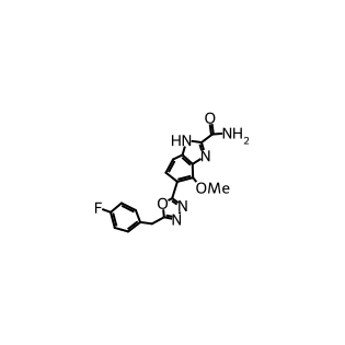 COc1c(-c2nnc(Cc3ccc(F)cc3)o2)ccc2[nH]c(C(N)=O)nc12